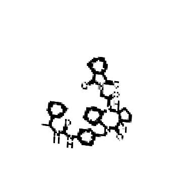 C[C@H](NC(=O)Nc1ccc(CN2C(=O)[C@H]3CCC[C@H]3N(C(=O)CN3C(=O)c4ccccc4C3=O)c3ccccc32)cc1)c1ccccc1